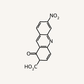 O=C(O)C1C=Cc2nc3cc([N+](=O)[O-])ccc3cc2C1=O